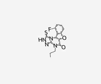 CCCn1c(=O)c2oc3cccc(F)c3c2n2c(=S)[nH]nc12